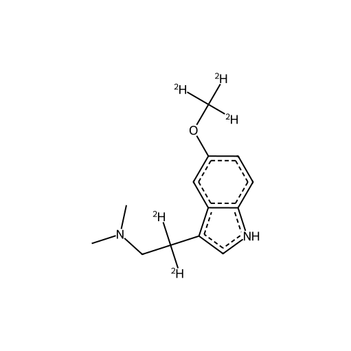 [2H]C([2H])([2H])Oc1ccc2[nH]cc(C([2H])([2H])CN(C)C)c2c1